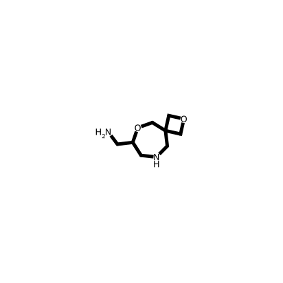 NCC1CNCC2(COC2)CO1